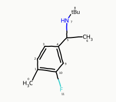 Cc1ccc(C(C)NC(C)(C)C)cc1F